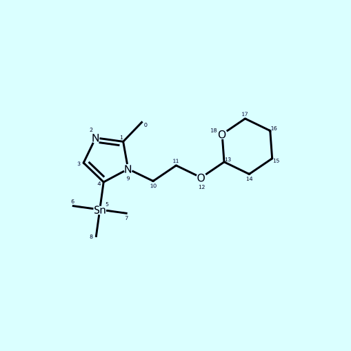 Cc1nc[c]([Sn]([CH3])([CH3])[CH3])n1CCOC1CCCCO1